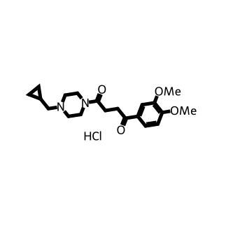 COc1ccc(C(=O)CCC(=O)N2CCN(CC3CC3)CC2)cc1OC.Cl